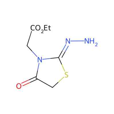 CCOC(=O)CN1C(=O)CSC1=NN